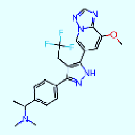 COc1cc(-c2[nH]nc(-c3ccc([C@H](C)N(C)C)cc3)c2CC(F)(F)F)cn2ncnc12